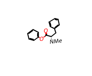 CN[C@@H](Cc1ccccc1)C(=O)Oc1ccccc1